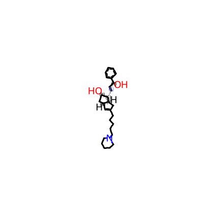 O[C@H](/C=C/[C@@H]1[C@H]2CC(CCCCCN3CCCCC3)=C[C@H]2C[C@H]1O)c1ccccc1